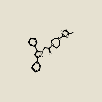 Cc1csc(N2CCN(C(=O)Cn3nc(-c4ccccc4)cc3-c3ccccc3)CC2)n1